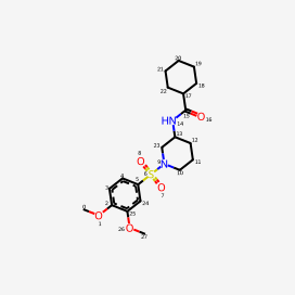 COc1ccc(S(=O)(=O)N2CCCC(NC(=O)C3CCCCC3)C2)cc1OC